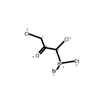 C[CH2][Al]([Br])[CH](Cl)C(=O)CCl